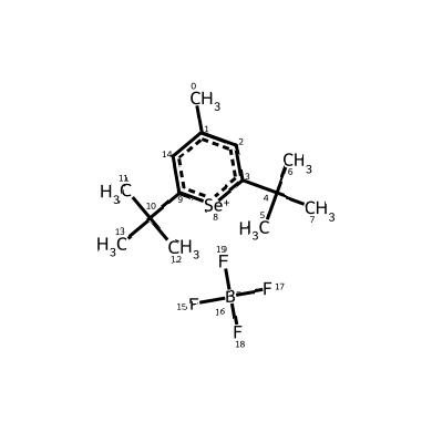 Cc1cc(C(C)(C)C)[se+]c(C(C)(C)C)c1.F[B-](F)(F)F